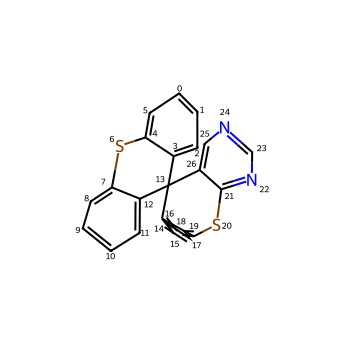 c1ccc2c(c1)Sc1ccccc1C21c2ccccc2Sc2ncncc21